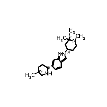 C[C@H]1CC[C@H](c2ccc3cn([C@@H]4CCN(C)C(C)(C)C4)nc3c2)NC1